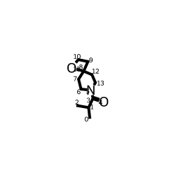 CC(C)C(=O)N1CCC2(CCO2)CC1